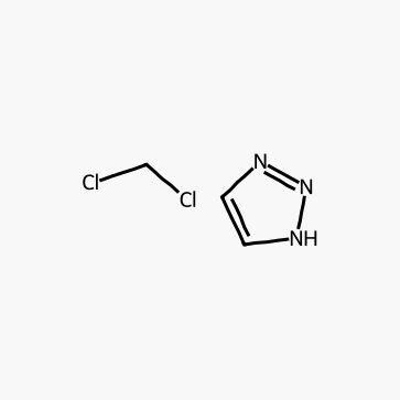 ClCCl.c1c[nH]nn1